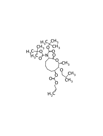 C=CCOC(=O)O[C@H]1CCCC[C@H](N(C(=O)OC(C)(C)C)C(=O)OC(C)(C)C)C(=O)O[C@@H](C)[C@@H]1OCC(C)C